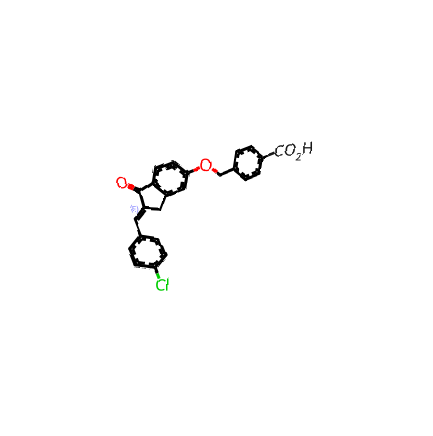 O=C(O)c1ccc(COc2ccc3c(c2)C/C(=C\c2ccc(Cl)cc2)C3=O)cc1